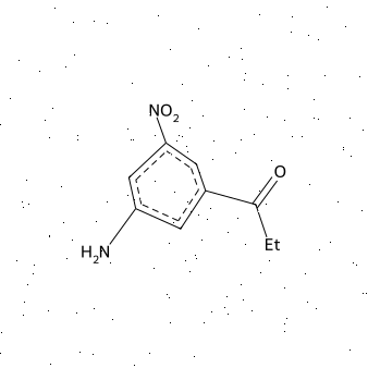 CCC(=O)c1cc(N)cc([N+](=O)[O-])c1